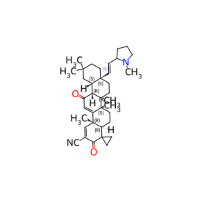 CN1CCCC1/C=C/[C@]12CCC(C)(C)C[C@H]1[C@H]1C(=O)C=C3[C@@]4(C)C=C(C#N)C(=O)C5(CC5)[C@@H]4CC[C@@]3(C)[C@]1(C)CC2